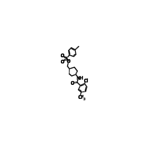 Cc1ccc(S(=O)(=O)OCC2CCC(NC(=O)c3cc(C(F)(F)F)ccc3Cl)CC2)cc1